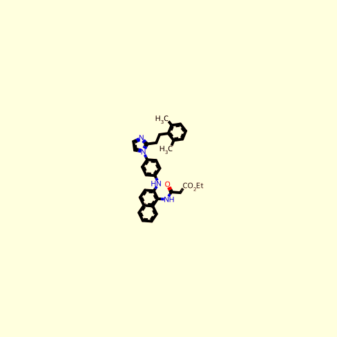 CCOC(=O)CC(=O)Nc1c(Nc2ccc(-n3ccnc3CCc3c(C)cccc3C)cc2)ccc2ccccc12